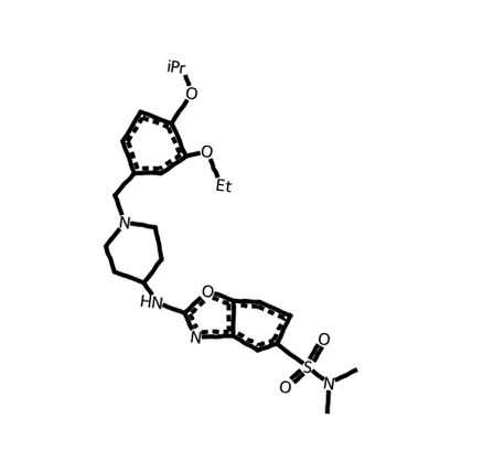 CCOc1cc(CN2CCC(Nc3nc4cc(S(=O)(=O)N(C)C)ccc4o3)CC2)ccc1OC(C)C